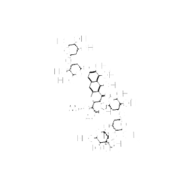 CO[C@@H]([C@@H]1Cc2cc3cc(O[C@H]4C[C@@H](O[C@H]5C[C@@H](O)[C@H](O)C(C)O5)[C@H](O)C(C)O4)c(C)c(O)c3c(O)c2C(=O)[C@H]1O[C@H]1C[C@@H](O[C@H]2C[C@@H](O[C@H]3C[C@](C)(O)[C@H](O)C(C)O3)[C@@H](O)C(C)O2)[C@H](O)C(C)O1)[C@@H](O)C(C)=O